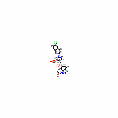 O=C1CCc2c(OC[C@]3(O)CCN(c4ccc5cc(Cl)ccc5n4)C[C@H]3O)ccc(F)c2N1